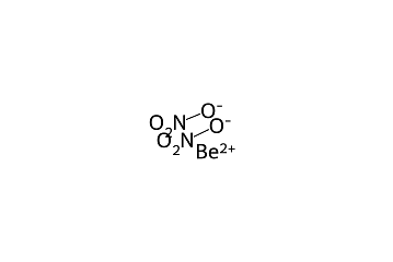 O=[N+]([O-])[O-].O=[N+]([O-])[O-].[Be+2]